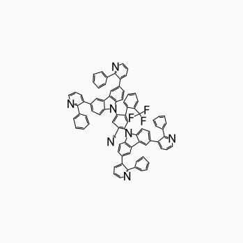 N#Cc1cc(-n2c3ccc(-c4cccnc4-c4ccccc4)cc3c3cc(-c4cccnc4-c4ccccc4)ccc32)c(-c2ccccc2C(F)(F)F)cc1-n1c2ccc(-c3cccnc3-c3ccccc3)cc2c2cc(-c3cccnc3-c3ccccc3)ccc21